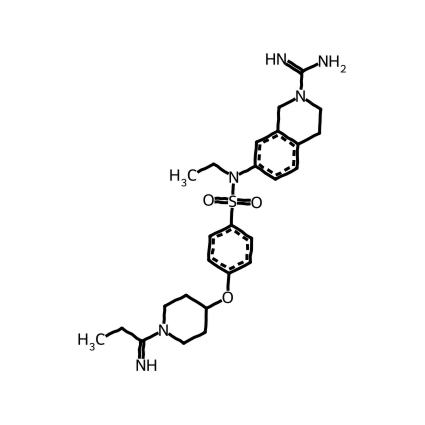 CCC(=N)N1CCC(Oc2ccc(S(=O)(=O)N(CC)c3ccc4c(c3)CN(C(=N)N)CC4)cc2)CC1